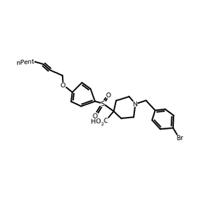 CCCCCC#CCOc1ccc(S(=O)(=O)C2(C(=O)O)CCN(Cc3ccc(Br)cc3)CC2)cc1